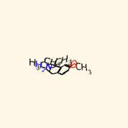 COc1ccc2c(c1)C1(C)CC(C)(C)CC(C2)C1N